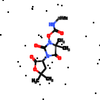 CCCCCCNC(=O)ON1C(=O)N(C2CC(C)(C)OC2=O)C(=O)C1(C)C